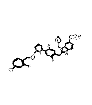 O=C(O)c1ccc2nc(Cc3cc(F)c(-c4cccc(OCc5ccc(Cl)cc5F)n4)cc3F)n(C[C@@H]3CCO3)c2c1